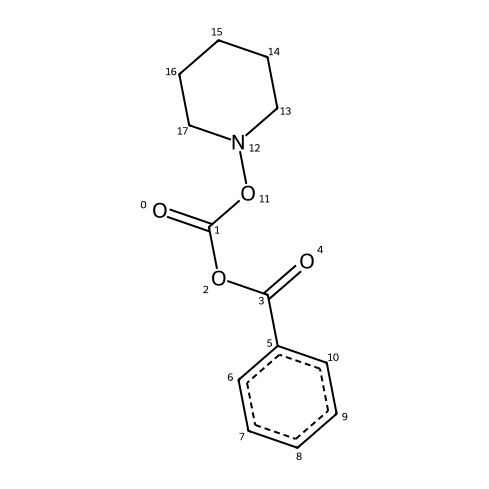 O=C(OC(=O)c1ccccc1)ON1CCCCC1